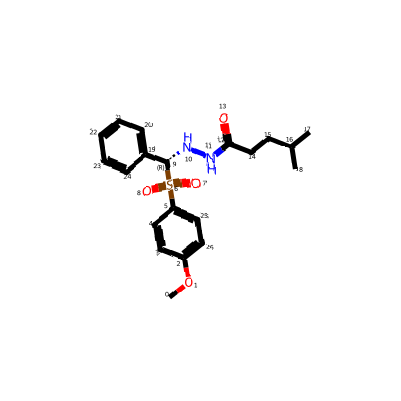 COc1ccc(S(=O)(=O)[C@@H](NNC(=O)CCC(C)C)c2ccccc2)cc1